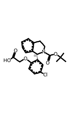 CC(C)(C)OC(=O)N1CCc2ccccc2[C@H]1c1cc(Cl)ccc1OCC(=O)O